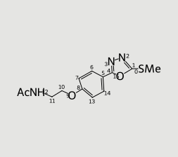 CSc1nnc(-c2ccc(OCCNC(C)=O)cc2)o1